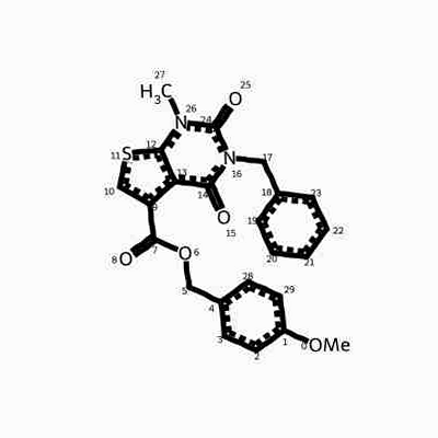 COc1ccc(COC(=O)c2csc3c2c(=O)n(Cc2ccccc2)c(=O)n3C)cc1